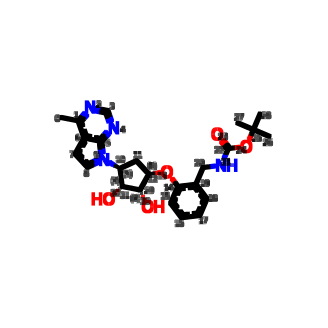 Cc1ncnc2c1ccn2[C@H]1C[C@@H](Oc2ccccc2CNC(=O)OC(C)(C)C)[C@H](O)[C@@H]1O